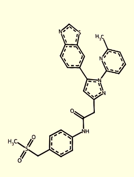 Cc1cccc(-n2nc(CC(=O)Nc3ccc(CS(C)(=O)=O)cc3)cc2-c2ccc3ncsc3c2)n1